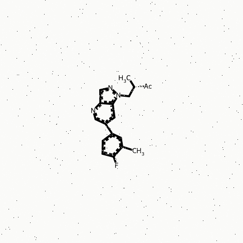 CC(=O)[C@@H](C)Cn1ncc2ncc(-c3ccc(F)c(C)c3)cc21